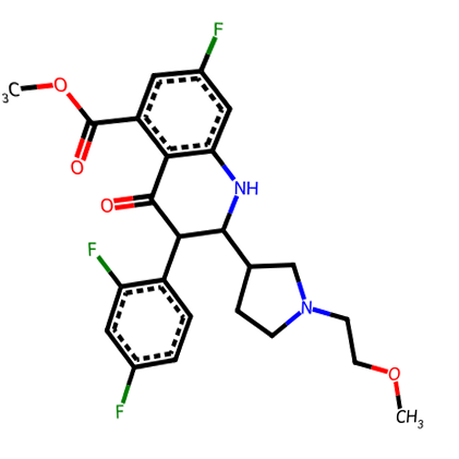 COCCN1CCC(C2Nc3cc(F)cc(C(=O)OC)c3C(=O)C2c2ccc(F)cc2F)C1